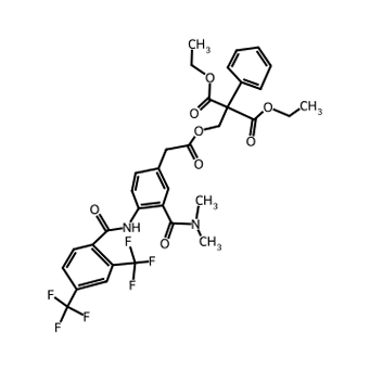 CCOC(=O)C(COC(=O)Cc1ccc(NC(=O)c2ccc(C(F)(F)F)cc2C(F)(F)F)c(C(=O)N(C)C)c1)(C(=O)OCC)c1ccccc1